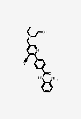 CCN(CCO)Cc1cnc(-c2ccc(C(=O)Nc3ccccc3N)cc2)c(C#N)c1